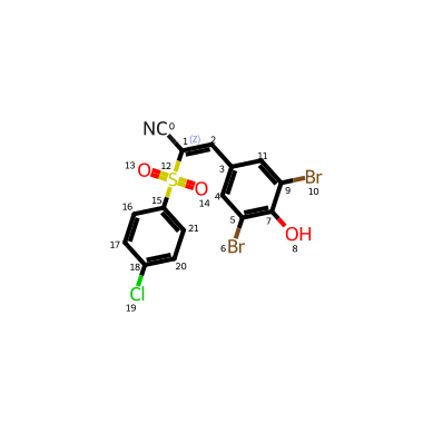 N#C/C(=C/c1cc(Br)c(O)c(Br)c1)S(=O)(=O)c1ccc(Cl)cc1